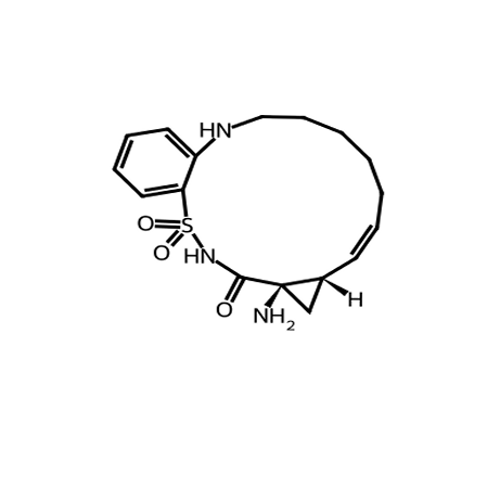 N[C@]12C[C@H]1/C=C\CCCCCNc1ccccc1S(=O)(=O)NC2=O